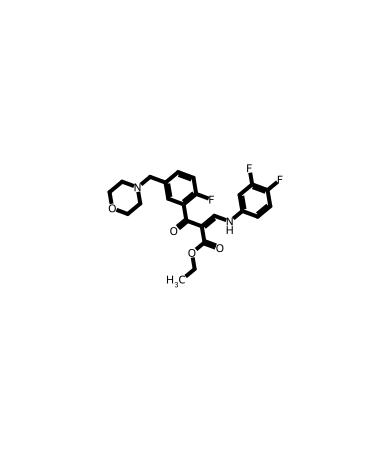 CCOC(=O)C(=CNc1ccc(F)c(F)c1)C(=O)c1cc(CN2CCOCC2)ccc1F